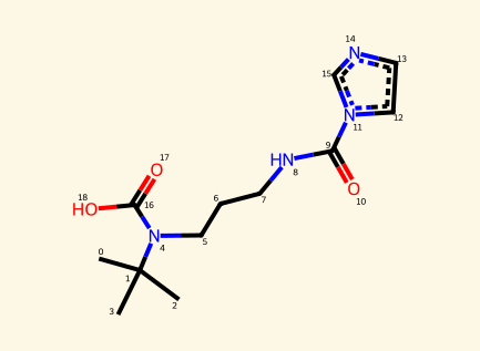 CC(C)(C)N(CCCNC(=O)n1ccnc1)C(=O)O